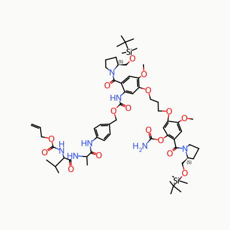 C=CCOC(=O)NC(C(=O)NC(C)C(=O)Nc1ccc(COC(=O)Nc2cc(OCCCOc3cc(OC(N)=O)c(C(=O)N4CCC[C@H]4CO[Si](C)(C)C(C)(C)C)cc3OC)c(OC)cc2C(=O)N2CCC[C@H]2CO[Si](C)(C)C(C)(C)C)cc1)C(C)C